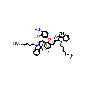 CC1(C)C(/C=C/C2=C(Oc3ccc(N)c([N+](=O)[O-])c3)C(=C/C=C3/N(CCCCS(=O)(=O)O)c4ccccc4C3(C)C)/CCC2)=[N+](CCCCS(=O)(=O)O)c2ccccc21